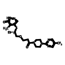 CC[C@@H](COCCC(=O)N1CCN(c2ncc(C(F)(F)F)cn2)CC1)Sc1cn[nH]c(=O)c1C